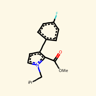 COC(=O)c1c(-c2ccc(F)cc2)ccn1CC(C)C